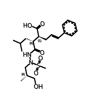 CC(C)C[C@@H](C(=O)NN(C[C@@H](C)CO)S(C)(=O)=O)[C@H](CC=Cc1ccccc1)C(=O)O